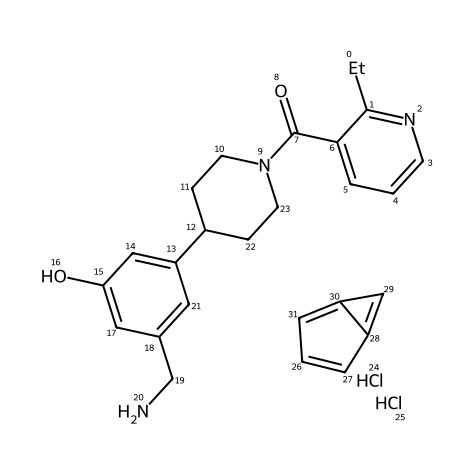 CCc1ncccc1C(=O)N1CCC(c2cc(O)cc(CN)c2)CC1.Cl.Cl.c1cc2cc-2c1